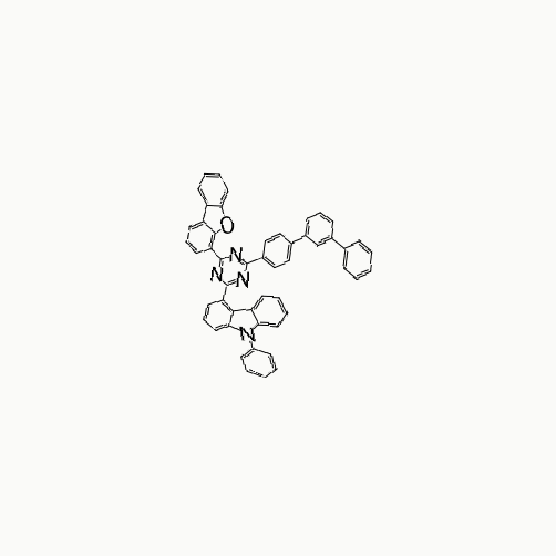 c1ccc(-c2cccc(-c3ccc(-c4nc(-c5cccc6c5oc5ccccc56)nc(-c5cccc6c5c5ccccc5n6-c5ccccc5)n4)cc3)c2)cc1